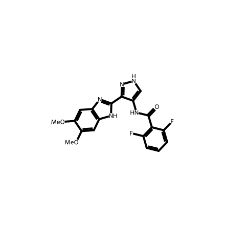 COc1cc2nc(-c3n[nH]cc3NC(=O)c3c(F)cccc3F)[nH]c2cc1OC